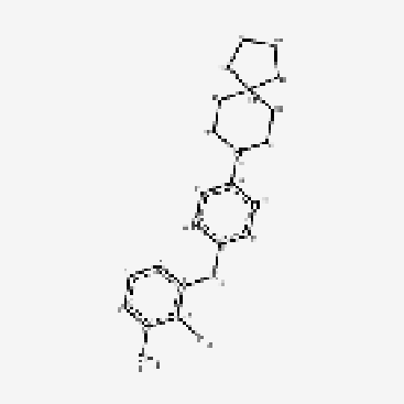 Cc1cccc(Sc2cnc(N3CCC4(CCCC4)CC3)cn2)c1F